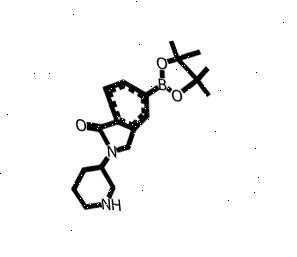 CC1(C)OB(c2ccc3c(c2)CN(C2CCCNC2)C3=O)OC1(C)C